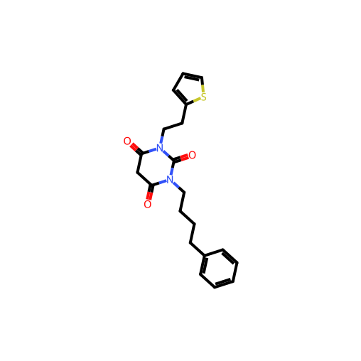 O=C1CC(=O)N(CCc2cccs2)C(=O)N1CCCCc1ccccc1